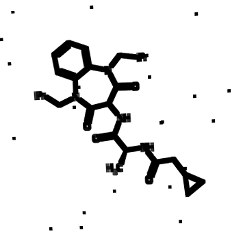 CC(C)CN1C(=O)C(NC(=O)[C@H](C)NC(=O)CC2CC2)C(=O)N(CC(C)C)c2ccccc21